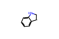 [C]1CNc2ccccc21